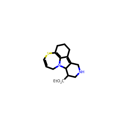 CCOC(=O)C1CNCC2=C3CCCC4=C3N(CC=CS4)C21